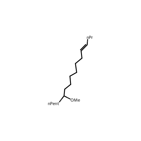 CCCC=CCCCCCCC(CCCCC)OC